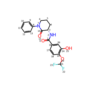 O=C(N[C@H]1CCCN(c2ccccc2)C1=O)c1ccc(OC(F)F)c(O)c1